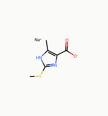 CSc1nc(C(=O)[O-])c(C)[nH]1.[Na+]